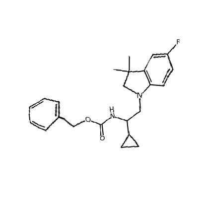 CC1(C)CN(CC(NC(=O)OCc2ccccc2)C2CC2)c2ccc(F)cc21